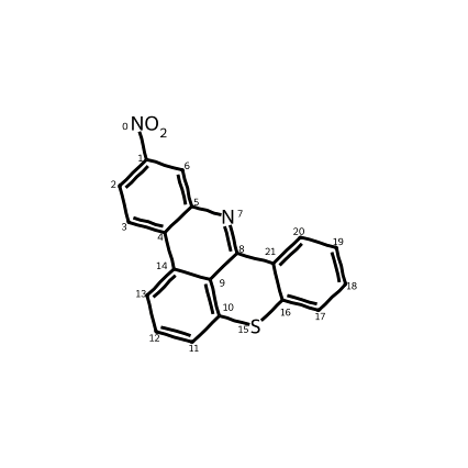 O=[N+]([O-])c1ccc2c(c1)nc1c3c(cccc32)Sc2ccccc2-1